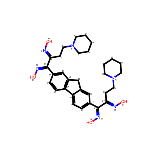 O/N=C(CCN1CCCCC1)/C(=N/O)c1ccc2c(c1)Cc1cc(C(=N\O)/C(CCN3CCCCC3)=N/O)ccc1-2